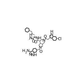 CNC(=O)[C@H](CCCc1ccccc1)NC(=O)C1CN(C(=O)Cc2c[nH]c3cc(Cl)ccc23)CC2CN(C(=O)c3ccc4c(N)n[nH]c4c3)CC21